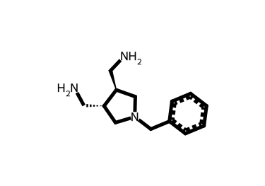 NC[C@H]1CN(Cc2ccccc2)C[C@@H]1CN